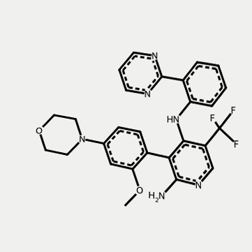 COc1cc(N2CCOCC2)ccc1-c1c(N)ncc(C(F)(F)F)c1Nc1ccccc1-c1ncccn1